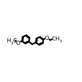 CCOc1ccc(Cc2cccc(OC)c2)cc1